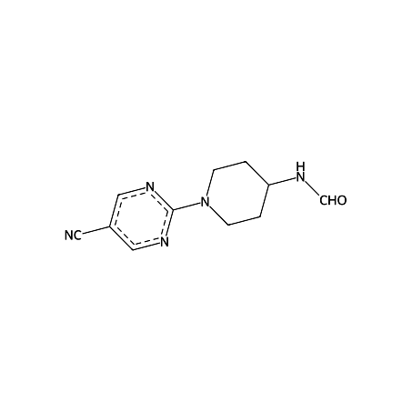 N#Cc1cnc(N2CCC(NC=O)CC2)nc1